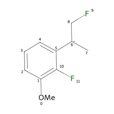 COc1cccc([C](C)CF)c1F